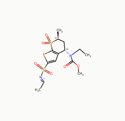 C/C=N/S(=O)(=O)c1cc2c(s1)S(=O)(=O)[C@@H](C)C[C@@H]2N(CC)C(=O)OC